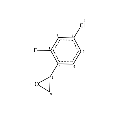 Fc1cc(Cl)ccc1C1CO1